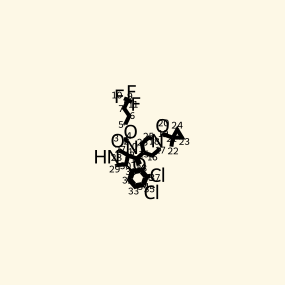 CN(C(=O)OCCCC(F)(F)F)[C@@]1(C(=O)C2CCN(C(=O)C3(C)CC3)CC2)CNC[C@@H]1c1ccc(Cl)c(Cl)c1